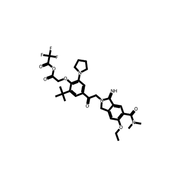 CCOc1cc2c(cc1C(=O)N(C)C)C(=N)N(CC(=O)c1cc(N3CCCC3)c(OCC(=O)OC(=O)C(F)(F)F)c(C(C)(C)C)c1)C2